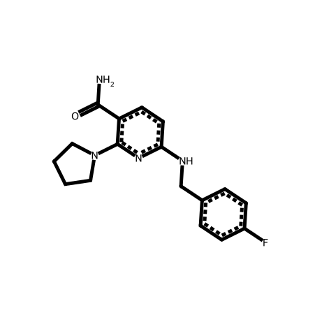 NC(=O)c1ccc(NCc2ccc(F)cc2)nc1N1CCCC1